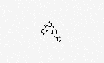 C[C@H]1CN(Cc2ccn3ncc(N4CCC(=O)NC4=O)c3c2)CCN1Cc1cccnc1